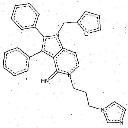 N=c1c2c(-c3ccccc3)c(-c3ccccc3)n(Cc3ccco3)c2ccn1CCCn1ccnc1